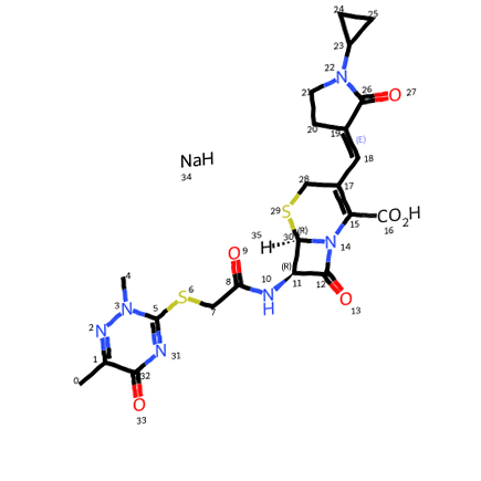 Cc1nn(C)c(SCC(=O)N[C@@H]2C(=O)N3C(C(=O)O)=C(/C=C4\CCN(C5CC5)C4=O)CS[C@H]23)nc1=O.[NaH]